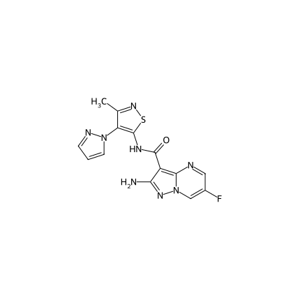 Cc1nsc(NC(=O)c2c(N)nn3cc(F)cnc23)c1-n1cccn1